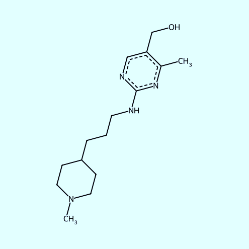 Cc1nc(NCCCC2CCN(C)CC2)ncc1CO